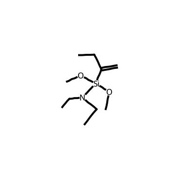 C=C(CC)[Si](OC)(OC)N(CC)CC